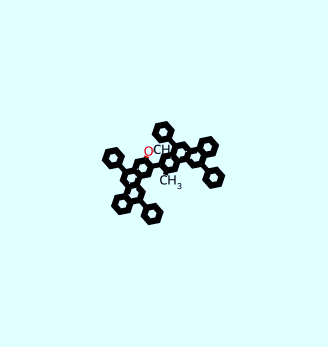 COc1cc2c(-c3ccccc3)cc3c4ccccc4c(-c4ccccc4)cc3c2cc1-c1cc2c(-c3ccccc3)cc3c4ccccc4c(-c4ccccc4)cc3c2cc1C